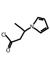 CC(CC(=O)Cl)n1cccc1